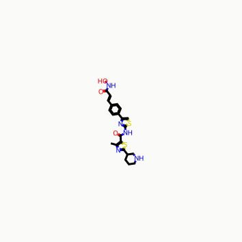 Cc1nc(C2CCCNC2)sc1C(=O)Nc1nc(-c2ccc(/C=C/C(=O)NO)cc2)cs1